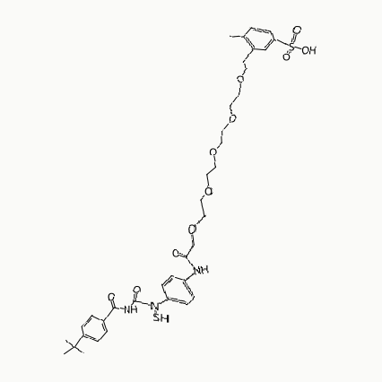 Cc1ccc(S(=O)(=O)O)cc1CCOCCOCCOCCOCCOCC(=O)Nc1ccc(N(S)C(=O)NC(=O)c2ccc(C(C)(C)C)cc2)cc1